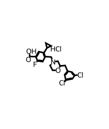 Cl.O=C(O)c1cc(C2CC2)c(CN2CCOC(Cc3cc(Cl)cc(Cl)c3)C2)cc1F